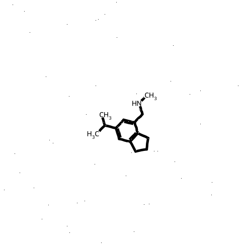 CNCc1cc(C(C)C)cc2c1CCC2